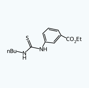 CCCCNC(=S)Nc1cccc(C(=O)OCC)c1